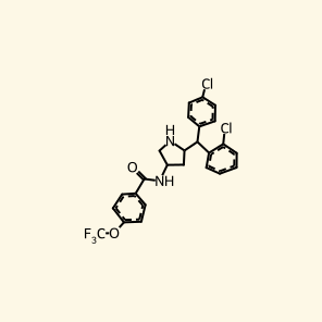 O=C(NC1CNC(C(c2ccc(Cl)cc2)c2ccccc2Cl)C1)c1ccc(OC(F)(F)F)cc1